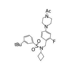 CC(=O)N1CCN(c2ccc(CN(C3CCC3)S(=O)(=O)c3cccc(C(C)(C)C)c3)c(F)c2)CC1